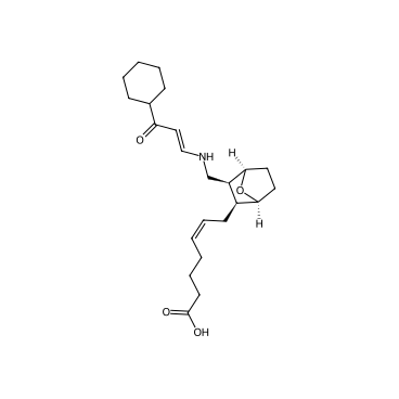 O=C(O)CCC/C=C\C[C@H]1[C@@H](CNC=CC(=O)C2CCCCC2)[C@H]2CC[C@@H]1O2